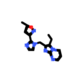 CCc1c(Cn2ccnc2-c2cc(C)on2)nc2ncccn12